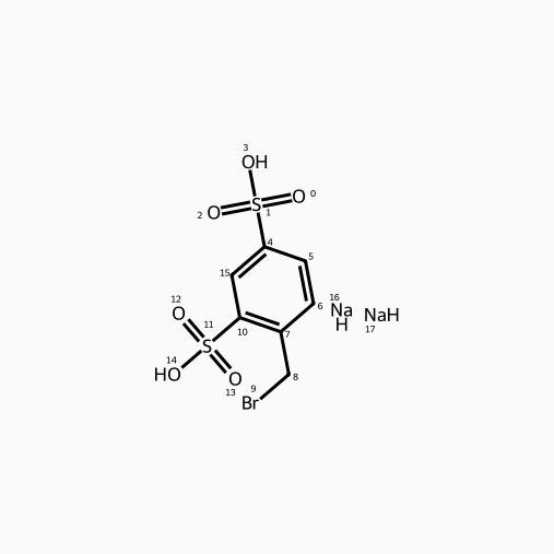 O=S(=O)(O)c1ccc(CBr)c(S(=O)(=O)O)c1.[NaH].[NaH]